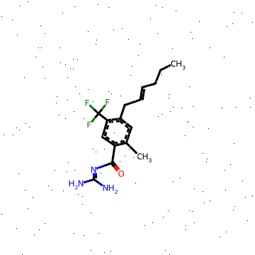 CCCC=CCc1cc(C)c(C(=O)N=C(N)N)cc1C(F)(F)F